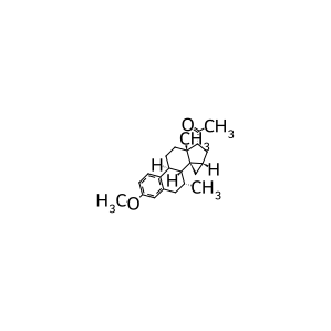 COc1ccc2c(c1)C[C@@H](C)[C@@H]1[C@@H]2CC[C@]2(C)[C@H](C(C)=O)C[C@@H]3C[C@@]312